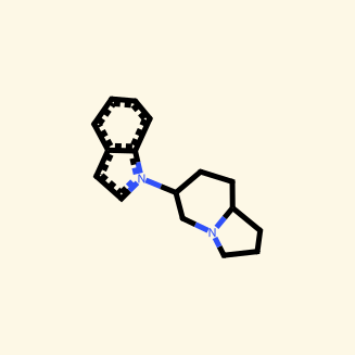 c1ccc2c(c1)ccn2C1CCC2CCCN2C1